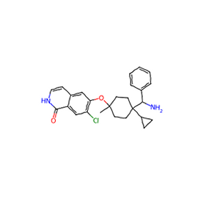 CC1(Oc2cc3cc[nH]c(=O)c3cc2Cl)CCC(C2CC2)(C(N)c2ccccc2)CC1